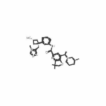 CC(c1cc(C(=O)Nc2cccc([C@]3(Cc4nncn4C)C[C@@H](C#N)C3)c2)nc2c1OCC2(C)C)N1CCC[C@H](C)C1